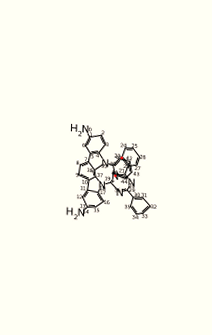 Nc1ccc2c(c1)c1ccc3c4cc(N)ccc4n(-c4nc(-c5ccccc5)nc(-c5ccccc5)n4)c3c1n2-c1ccccc1